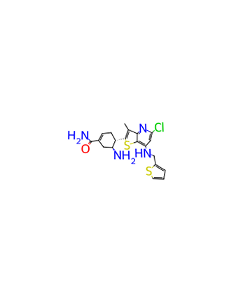 Cc1c([C@H]2CC=C(C(N)=O)C[C@@H]2N)sc2c(NCc3cccs3)cc(Cl)nc12